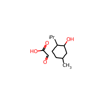 CC1CCC(C(C)C)C(O)C1.O=CC(=O)O